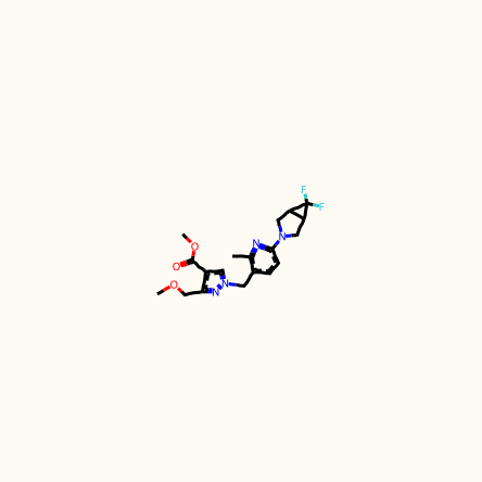 COCc1nn(Cc2ccc(N3CC4C(C3)C4(F)F)nc2C)cc1C(=O)OC